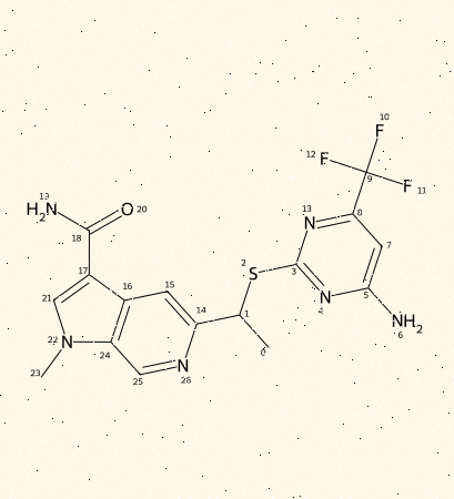 CC(Sc1nc(N)cc(C(F)(F)F)n1)c1cc2c(C(N)=O)cn(C)c2cn1